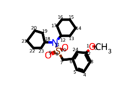 COc1cccc(CS(=O)(=O)N(C2CCCCC2)C2CCCCC2)c1